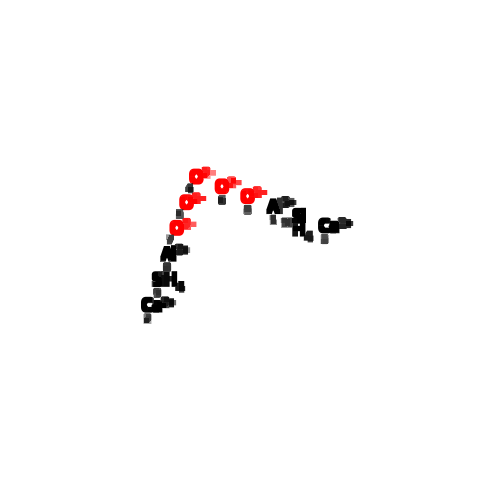 [Al+3].[Al+3].[Ca+2].[Ca+2].[O-2].[O-2].[O-2].[O-2].[O-2].[SiH4].[SiH4]